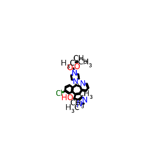 Cc1ncn(C)c1C(C)(O)C1=Cc2cccnc2[C@@H](N2CCN(C(=O)OC(C)(C)C)CC2)c2ccc(Cl)cc21